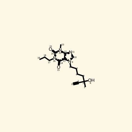 C#CC(C)(O)CCCCn1cnc2c1c(=O)n(CCC)c(=O)n2C